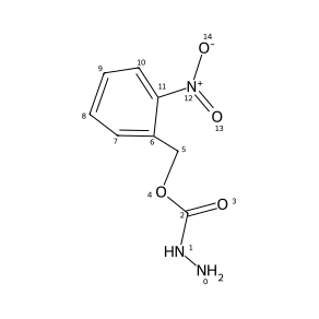 NNC(=O)OCc1ccccc1[N+](=O)[O-]